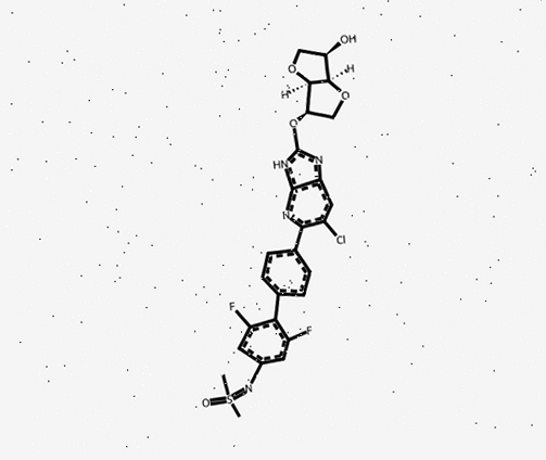 CS(C)(=O)=Nc1cc(F)c(-c2ccc(-c3nc4[nH]c(O[C@@H]5CO[C@H]6[C@@H]5OC[C@H]6O)nc4cc3Cl)cc2)c(F)c1